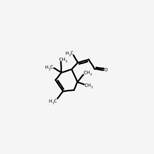 CC1=CC(C)(C)C(/C(C)=C\C=O)C(C)(C)C1